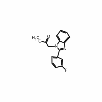 COC(=O)Cn1c(-c2cccc(F)c2)nc2ccccc21